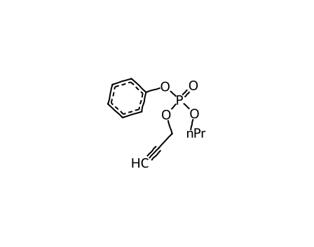 C#CCOP(=O)(OCCC)Oc1ccccc1